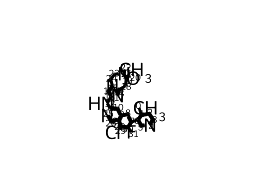 Cc1ccncc1-c1cc2cc(Nc3cn4c(n3)CC(=O)N(C)CC4)ncc2c(Cl)c1F